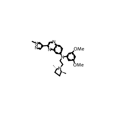 COc1cc(OC)cc(N(CCN2[C@@H](C)CC[C@@H]2C)c2ccc3ncc(-c4cnn(C)c4)nc3c2)c1